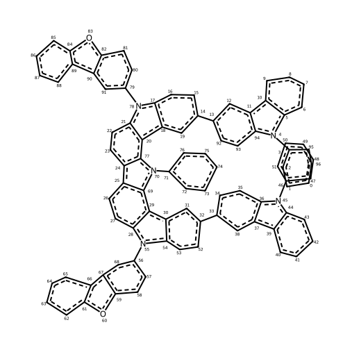 c1ccc(-n2c3ccccc3c3cc(-c4ccc5c(c4)c4c(ccc6c7ccc8c(c9cc(-c%10ccc%11c(c%10)c%10ccccc%10n%11-c%10ccccc%10)ccc9n8-c8ccc9oc%10ccccc%10c9c8)c7n(-c7ccccc7)c64)n5-c4ccc5oc6ccccc6c5c4)ccc32)cc1